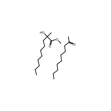 CCCCCCCCC(C)(O)C(=O)OC.CCCCCCCCC(C)=O